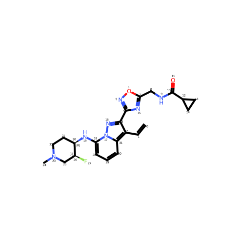 C=Cc1c(-c2noc(CNC(=O)C3CC3)n2)nn2c(N[C@@H]3CCN(C)C[C@@H]3F)cccc12